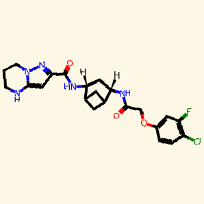 O=C(COc1ccc(Cl)c(F)c1)N[C@H]1C[C@@H](NC(=O)c2cc3n(n2)CCCN3)C2CC1C2